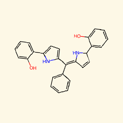 Oc1ccccc1-c1ccc(/C(=C2/C=CC(c3ccccc3O)N2)c2ccccc2)[nH]1